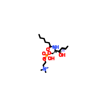 C/C=C/[C@@H](O)[C@H](COP(=O)(O)OCC[N+](C)(C)C)NC(=O)CCCCC